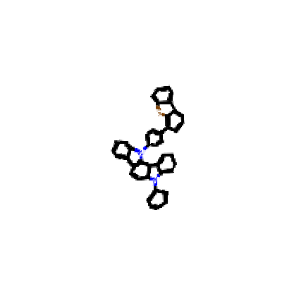 c1ccc(-n2c3ccccc3c3c2ccc2c4ccccc4n(-c4ccc(-c5cccc6c5sc5ccccc56)cc4)c23)cc1